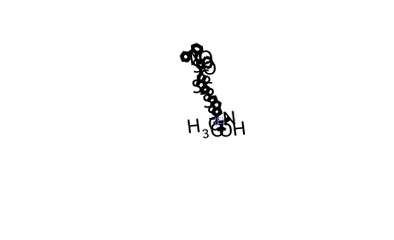 C/C(=C(/C#N)C(=O)O)c1cc2c(s1)-c1sc(-c3cc4sc5cc(-c6sc(-n7c8ccccc8c8ccccc87)c7c6OCCO7)sc5c4s3)cc1C2